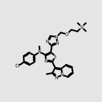 Cc1nn2ccccc2c1-c1nc(N(C)c2ccc(Cl)cc2)c(-c2ncn(COCC[Si](C)(C)C)n2)s1